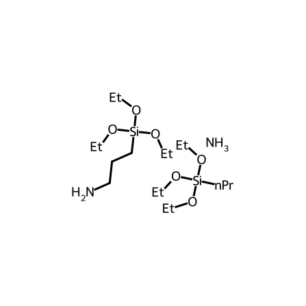 CCC[Si](OCC)(OCC)OCC.CCO[Si](CCCN)(OCC)OCC.N